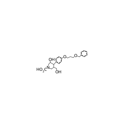 O=C(O)N1CC(O)C(c2ccc(OCCCOCc3ccccc3)cc2)C(CO)C1